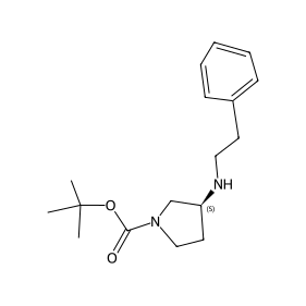 CC(C)(C)OC(=O)N1CC[C@H](NCCc2ccccc2)C1